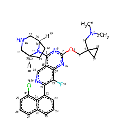 CN(C)CC1(COc2nc(N3[C@@H]4CC[C@H]3CNC4)c3cnc(-c4cccc5cccc(Cl)c45)c(F)c3n2)CC1